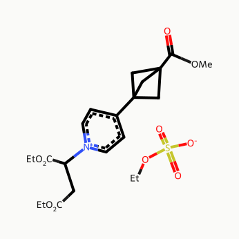 CCOC(=O)CC(C(=O)OCC)[n+]1ccc(C23CC(C(=O)OC)(C2)C3)cc1.CCOS(=O)(=O)[O-]